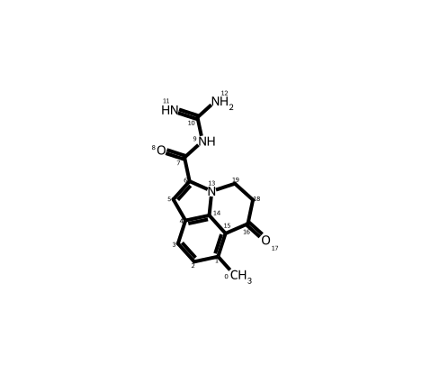 Cc1ccc2cc(C(=O)NC(=N)N)n3c2c1C(=O)CC3